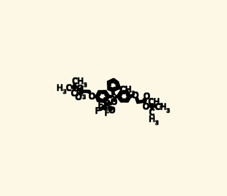 Cc1ccccc1S(OS(=O)(=O)C(F)(F)F)(c1ccc(OCC(=O)OC(C)(C)C)cc1)c1ccc(OCC(=O)OC(C)(C)C)cc1